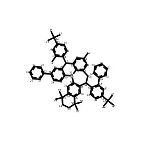 Cc1cc2c3c(c1)C(c1ccc(C(C)(C)C)cc1C)c1cc(-c4ccccc4)ccc1B3c1cc3c(cc1C(c1ccc(C(C)(C)C)cc1-c1ccccc1)C2)C(C)(C)CCC3(C)C